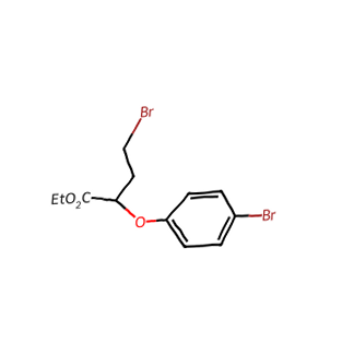 CCOC(=O)C(CCBr)Oc1ccc(Br)cc1